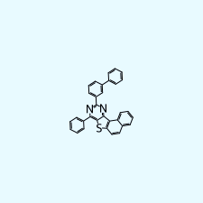 c1ccc(-c2cccc(-c3nc(-c4ccccc4)c4sc5ccc6ccccc6c5c4n3)c2)cc1